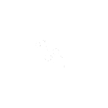 Nc1sccc1C(Cc1ccc(I)nc1)S(=O)(=O)Oc1ccc(N(CCCl)CCCl)cc1